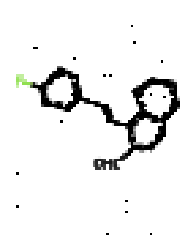 O=Cc1ccc2ccccc2c1C=Cc1ccc(F)cc1